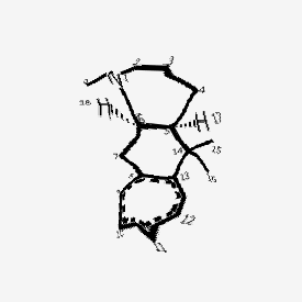 CN1CCC[C@@H]2[C@H]1Cc1ccccc1C2(C)C